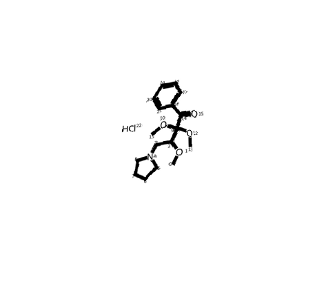 COC(CN1CCCC1)C(OC)(OC)C(=O)c1ccccc1.Cl